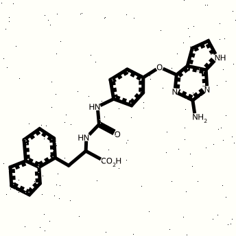 Nc1nc(Oc2ccc(NC(=O)NC(Cc3cccc4ccccc34)C(=O)O)cc2)c2cc[nH]c2n1